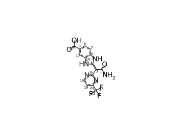 NC(=O)C(=C1Nc2ccc(C(=O)O)cc2N1)c1nccc(C(F)(F)F)n1